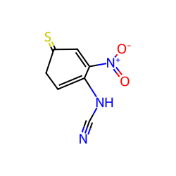 N#CNC1=CCC(=S)C=C1[N+](=O)[O-]